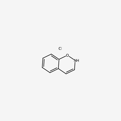 C1=Cc2ccccc2ON1.[C]